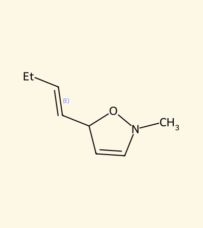 CC/C=C/C1C=CN(C)O1